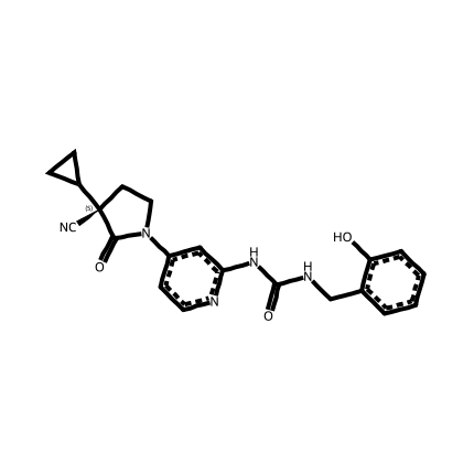 N#C[C@@]1(C2CC2)CCN(c2ccnc(NC(=O)NCc3ccccc3O)c2)C1=O